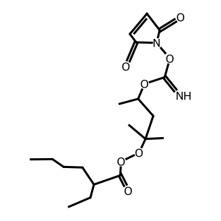 CCCCC(CC)C(=O)OOC(C)(C)CC(C)OC(=N)ON1C(=O)C=CC1=O